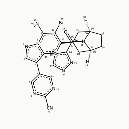 N#Cc1ncc(-c2cnn3c(N)c(Br)c([C@H]4C[C@H]5CC[C@@H](C4)N5C(=O)c4nnc[nH]4)nc23)cn1